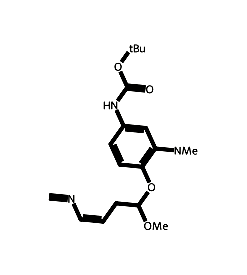 C=N/C=C\CC(OC)Oc1ccc(NC(=O)OC(C)(C)C)cc1NC